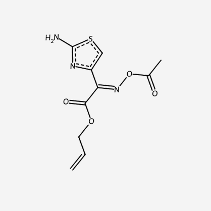 C=CCOC(=O)/C(=N/OC(C)=O)c1csc(N)n1